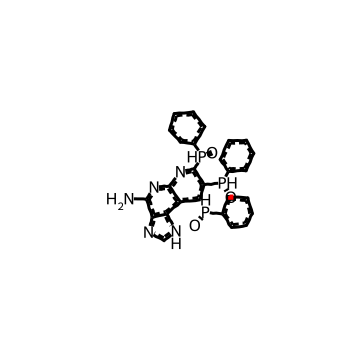 Nc1nc2nc([PH](=O)c3ccccc3)c([PH](=O)c3ccccc3)c([PH](=O)c3ccccc3)c2c2[nH]cnc12